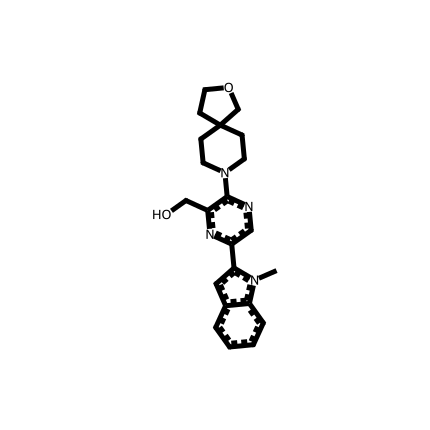 Cn1c(-c2cnc(N3CCC4(CCOC4)CC3)c(CO)n2)cc2ccccc21